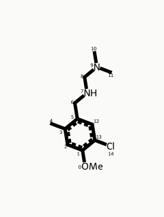 COc1cc(C)c(CNCN(C)C)cc1Cl